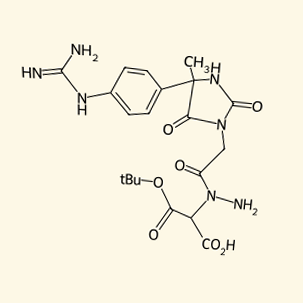 CC(C)(C)OC(=O)C(C(=O)O)N(N)C(=O)CN1C(=O)NC(C)(c2ccc(NC(=N)N)cc2)C1=O